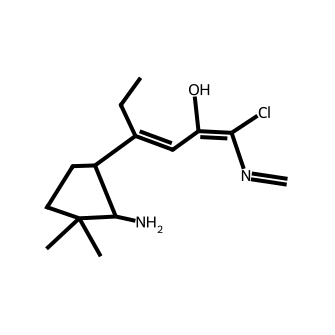 C=N/C(Cl)=C(O)\C=C(/CC)C1CCC(C)(C)C1N